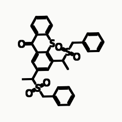 CC(c1cc(C(C)S(=O)(=O)Cc2ccccc2)c2sc3ccccc3c(=O)c2c1)S(=O)(=O)Cc1ccccc1